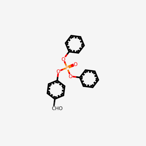 O=Cc1ccc(OP(=O)(Oc2ccccc2)Oc2ccccc2)cc1